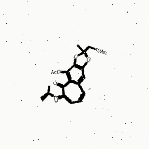 C=C(C)Oc1cccc2cc3c(c(OC(C)=O)c2c1=O)OC(C)(COC)O3